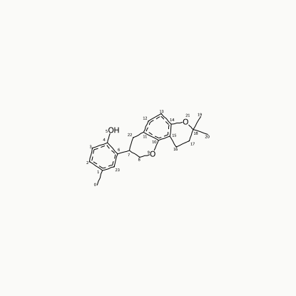 Cc1ccc(O)c(C2COc3c(ccc4c3CCC(C)(C)O4)C2)c1